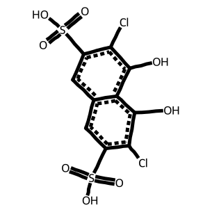 O=S(=O)(O)c1cc2cc(S(=O)(=O)O)c(Cl)c(O)c2c(O)c1Cl